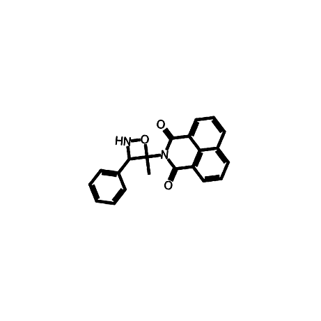 CC1(N2C(=O)c3cccc4cccc(c34)C2=O)ONC1c1ccccc1